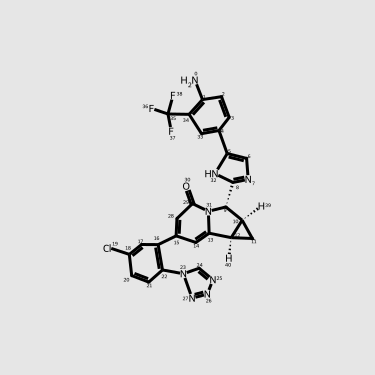 Nc1ccc(-c2cnc([C@@H]3[C@H]4C[C@H]4c4cc(-c5cc(Cl)ccc5-n5cnnn5)cc(=O)n43)[nH]2)cc1C(F)(F)F